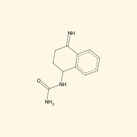 N=C1CCC(NC(N)=O)c2ccccc21